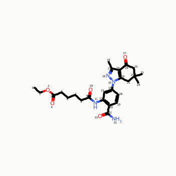 CCOC(=O)CCCCC(=O)Nc1cc(-n2nc(C)c3c2CC(C)(C)CC3=O)ccc1C(N)=O